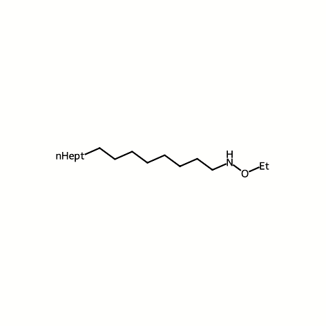 CCCCCCCCCCCCCCCNOCC